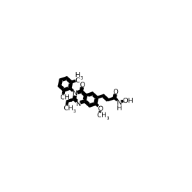 CCc1nc2cc(OC)c(/C=C/C(=O)NO)cc2c(=O)n1-c1c(C)cccc1C